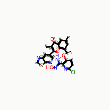 Cc1cc([C@@H](C)Oc2ccc(Cl)nc2C(N)=NO)c2oc(-c3cnc4scnc4c3)c(C)c(=O)c2c1